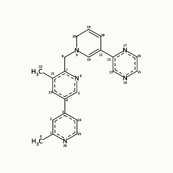 Cc1cc(-c2cnc(CN3C=C(c4cnccn4)C=CC3)c(C)c2)ccn1